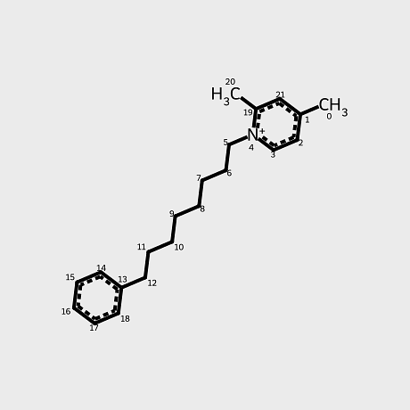 Cc1cc[n+](CCCCCCCCc2ccccc2)c(C)c1